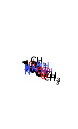 C[C@@H](Oc1nc(-c2ccc3c(c2)NC(=O)C(C)(C)O3)cc2ncn(C3CC3)c12)[C@H]1CNC(=O)C1